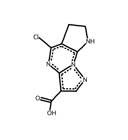 O=C(O)c1cnn2c3c(c(Cl)nc12)CCN3